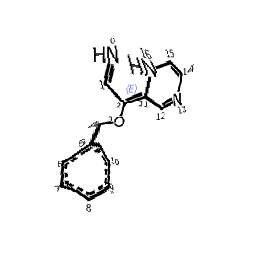 N=C/C(OCc1ccccc1)=C1/C=NC=CN1